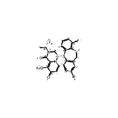 CC(=O)Oc1c2n(ccc1=O)N([C@H]1c3ccc(Br)cc3CSc3c(F)cccc31)CN([C@H](C)C(F)(F)F)C2=O